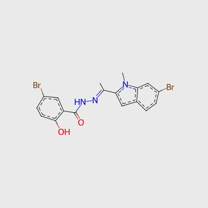 CC(=NNC(=O)c1cc(Br)ccc1O)c1cc2ccc(Br)cc2n1C